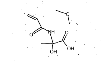 C=CC(=O)NC(C)(O)C(=O)O.COC